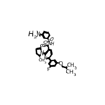 CC(C)COc1cc(F)cc(-c2ccc(C(=O)NS(=O)(=O)c3cccc(N)c3)c(N3[C@H](C)CC[C@@H]3C)n2)c1